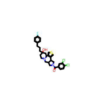 O=C(c1ccc(Cl)c(Cl)c1)N1CC(CN2CCC(O)(CCCc3ccc(F)cc3)CC2)C(c2ccsc2)C1